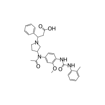 COc1cc(N(C(C)=O)C2CCN(C(CC(=O)O)c3ccccc3)C2)ccc1NC(=O)Nc1ccccc1C